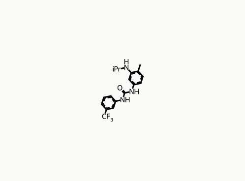 Cc1ccc(NC(=O)Nc2cccc(C(F)(F)F)c2)cc1NC(C)C